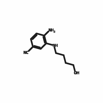 N#Cc1ccc(N)c(NCCCCO)c1